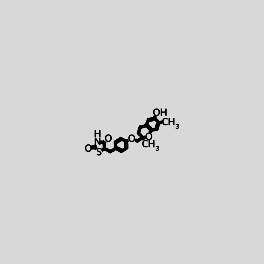 Cc1cc2c(cc1O)CCC(C)(COc1ccc(CC3SC(=O)NC3=O)cc1)O2